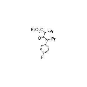 CCOC(=O)C(C(=O)N(c1ccc(F)cc1)C(C)C)C(C)C